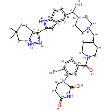 CC1(C)CCc2c(-c3cc4cc(C(O)N5CCN(CC6CCN(C(=O)c7ccc(F)c(N8CCC(=O)NC8=O)c7)CC6)CC5)ccc4[nH]3)n[nH]c2C1